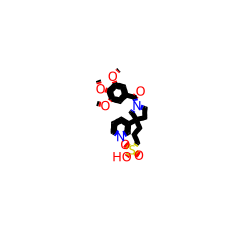 COc1cc(C(=O)N2CCC(CCCS(=O)(=O)O)(c3cccnc3)C2)cc(OC)c1OC